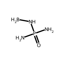 BNP(N)(N)=O